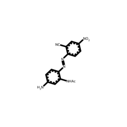 CC(=O)Nc1cc(N)ccc1N=Nc1ccc([N+](=O)[O-])cc1C#N